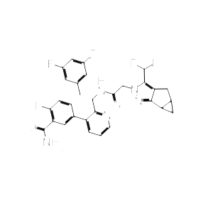 NC(=O)c1cc(-c2cccnc2[C@H](Cc2cc(F)cc(F)c2)NC(=O)Cn2nc3c(c2C(F)F)CC2CC32)ccc1F